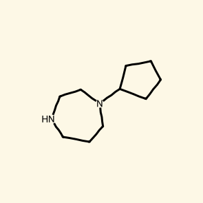 C1CCC(N2CCCNCC2)C1